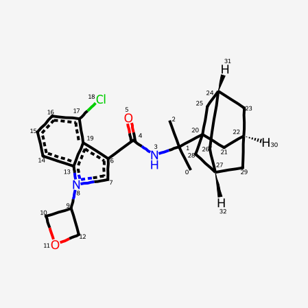 CC(C)(NC(=O)c1cn(C2COC2)c2cccc(Cl)c12)C12C[C@H]3C[C@@H](C1)C[C@@H](C2)C3